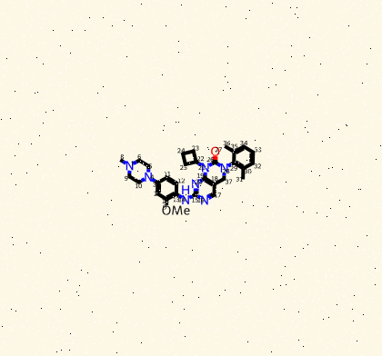 COc1cc(N2CCN(C)CC2)ccc1Nc1ncc2c(n1)N(C1CCC1)C(=O)N(c1c(C)cccc1C)C2